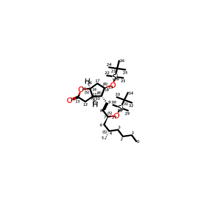 CCCC[C@H](C)C[C@@H](C=C[C@@H]1[C@H]2CC(=O)O[C@H]2C[C@H]1O[Si](C)(C)C(C)(C)C)O[Si](C)(C)C(C)(C)C